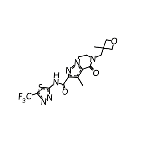 Cc1c(C(=O)Nc2nnc(C(F)(F)F)s2)nn2c1C(=O)N(CC1(C)COC1)CC2